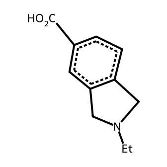 CCN1Cc2ccc(C(=O)O)cc2C1